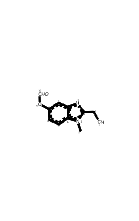 Cn1c(CO)nc2cc(OC=O)ccc21